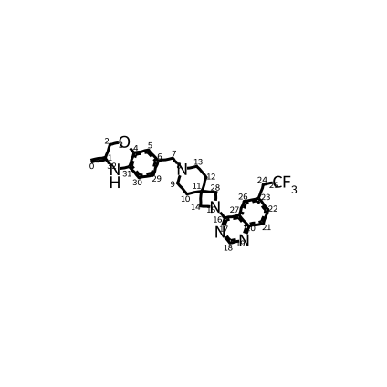 C=C1COc2cc(CN3CCC4(CC3)CN(c3ncnc5ccc(CC(F)(F)F)cc35)C4)ccc2N1